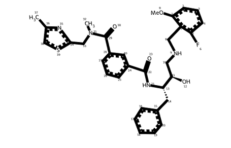 COc1cccc(F)c1CNC[C@@H](O)[C@H](Cc1ccccc1)NC(=O)c1cccc(C(=O)N(C)Cc2nc(C)cs2)c1